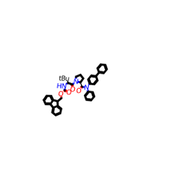 CC(C)(C)[C@H](NC(=O)OCC1c2ccccc2-c2ccccc21)C(=O)N1CCC[C@H]1C(=O)N(c1ccccc1)c1ccc(-c2ccccc2)cc1